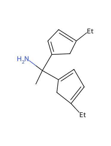 CCC1=CC=C(C(C)(N)C2=CC=C(CC)C2)C1